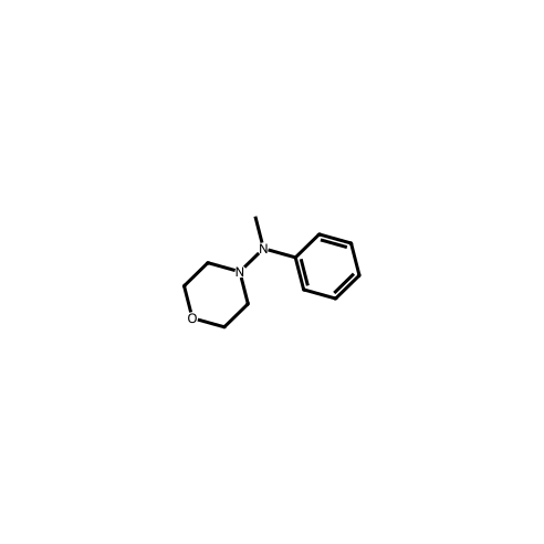 CN(c1ccccc1)N1CCOCC1